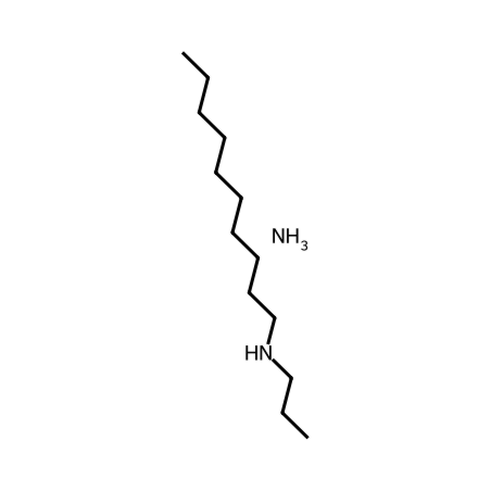 CCCCCCCCCCNCCC.N